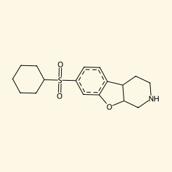 O=S(=O)(c1ccc2c(c1)OC1CNCCC21)C1CCCCC1